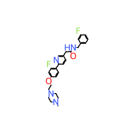 CN1CCN(CCOc2ccc(-c3ccc(CC(=O)NCc4cccc(F)c4)cn3)c(F)c2)CC1